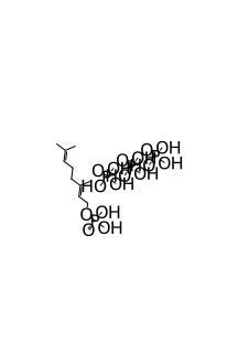 CC(C)=CCC/C(C)=C/COP(=O)(O)O.O=P(O)(O)O.O=P(O)(O)O.O=P(O)(O)O